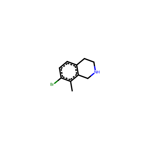 Cc1c(Br)ccc2c1CNCC2